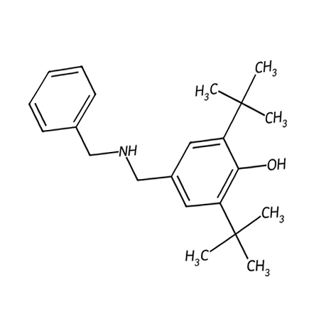 CC(C)(C)c1cc(CNCc2ccccc2)cc(C(C)(C)C)c1O